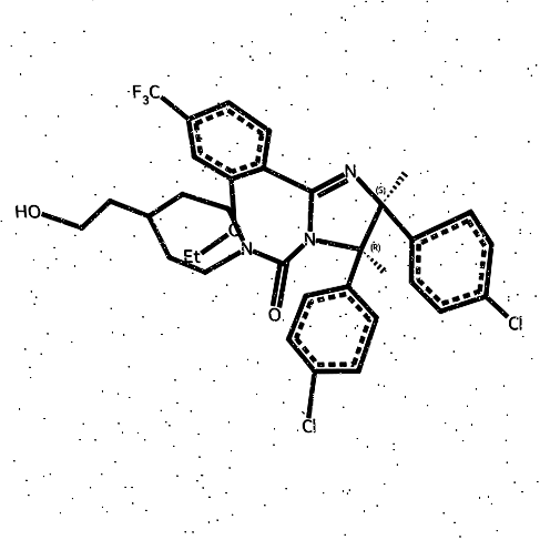 CCOc1cc(C(F)(F)F)ccc1C1=N[C@@](C)(c2ccc(Cl)cc2)[C@@](C)(c2ccc(Cl)cc2)N1C(=O)N1CCC(CCO)CC1